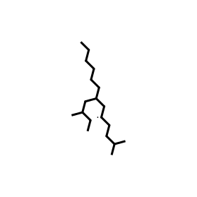 CCCCCCC(C[CH]CCC(C)C)CC(C)CC